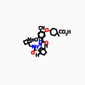 COc1cc(C#N)c(O[C@H]2CC[C@@](C)(C(=O)O)CC2)cc1C(=O)N[C@@H]1[C@@H]2CC[C@@H](C2)[C@@H]1C(=O)NCC1(C)CCC1